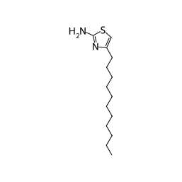 CCCCCCCCCCCc1csc(N)n1